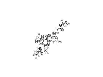 C=CCCC(NC(=O)[C@@H]1[C@@H]2[C@H](CN1C(=O)[C@@H](NC(=O)NC(C)(C)C)C(C)(C)C)C2(C)C)C(=O)C(=O)NCCC(=O)OC(C)(C)C=C